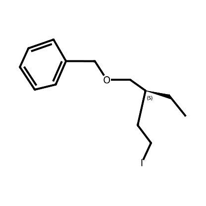 CC[C@@H](CCI)COCc1ccccc1